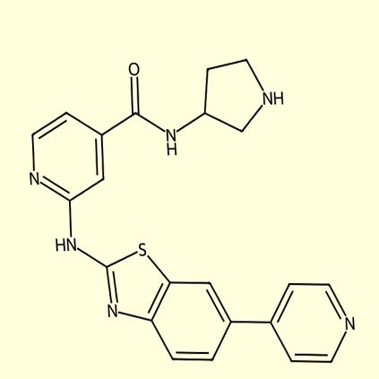 O=C(NC1CCNC1)c1ccnc(Nc2nc3ccc(-c4ccncc4)cc3s2)c1